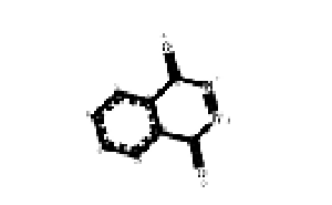 O=C1N=NC(=O)c2ccc[c]c21